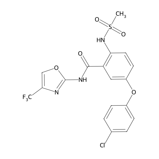 CS(=O)(=O)Nc1ccc(Oc2ccc(Cl)cc2)cc1C(=O)Nc1nc(C(F)(F)F)co1